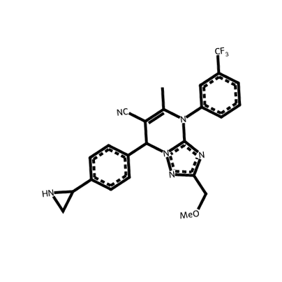 COCc1nc2n(n1)C(c1ccc(C3CN3)cc1)C(C#N)=C(C)N2c1cccc(C(F)(F)F)c1